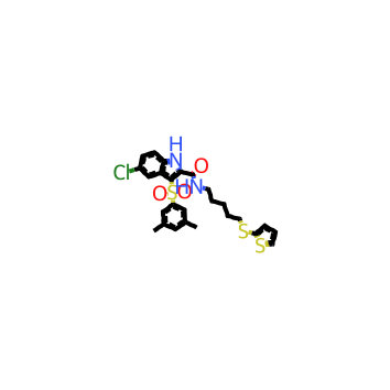 Cc1cc(C)cc(S(=O)(=O)c2c(C(=O)NCCCCCSc3cccs3)[nH]c3ccc(Cl)cc23)c1